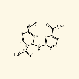 COC(=O)c1cccc(Nc2nc(NC(C)(C)C)ncc2C(N)=O)c1